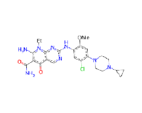 CCn1c(N)c(C(N)=O)c(=O)c2cnc(Nc3cc(Cl)c(N4CCN(C5CC5)CC4)cc3OC)nc21